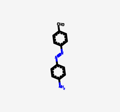 Nc1ccc(N=Nc2ccc(C=O)cc2)cc1